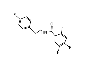 Cc1cc(F)c(F)cc1C(=O)NCCc1ccc(F)cc1